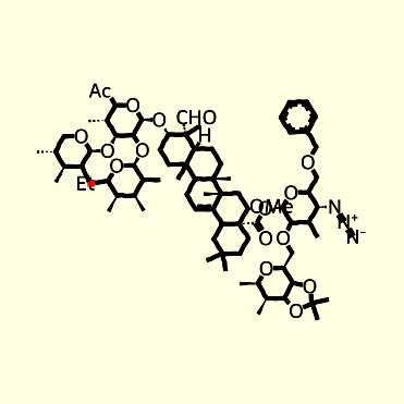 CCC1O[C@@H](OC2[C@H](O[C@H]3CCC4(C)C5CC=C6C7CC(C)(C)CC[C@]7(C(=O)O[C@@H]7OC(COCc8ccccc8)[C@H](N=[N+]=[N-])C(C)C7OC[C@@H]7O[C@H](C)[C@H](C)C8OC(C)(C)OC87)C(OC)C[C@@]6(C)[C@@]5(C)CC[C@H]4[C@@]3(C)C=O)OC(C(C)=O)[C@@H](C)[C@@H]2O[C@@H]2OC[C@@H](C)[C@H](C)C2C)C(C)[C@@H](C)[C@H]1C